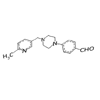 Cc1ccc(CN2CCN(c3ccc(C=O)cc3)CC2)cn1